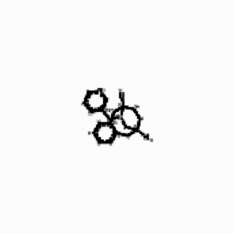 c1cncc(CN2C[C@@H]3CC[C@H]2Cc2ccccc2C3)c1